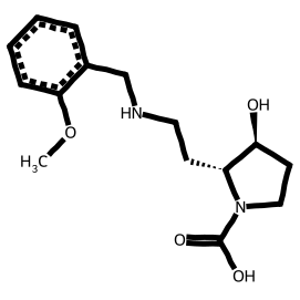 COc1ccccc1CNCC[C@@H]1[C@@H](O)CCN1C(=O)O